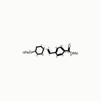 CCCCC[C@H]1CC[C@H](/C=C/c2ccc(C(=O)OC)cc2)CC1